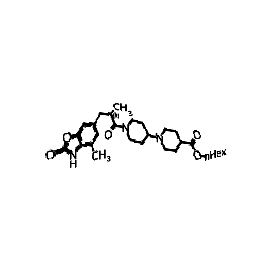 CCCCCCOC(=O)C1CCN(C2CCN(C(=O)[C@H](C)Cc3cc(C)c4[nH]c(=O)oc4c3)CC2)CC1